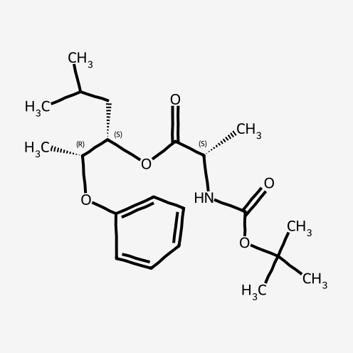 CC(C)C[C@H](OC(=O)[C@H](C)NC(=O)OC(C)(C)C)[C@@H](C)Oc1ccccc1